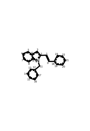 C(=Cc1cc2ccccc2n1Cc1ccccc1)c1ccccc1